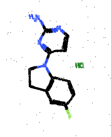 Cl.Nc1nccc(N2CCc3cc(F)ccc32)n1